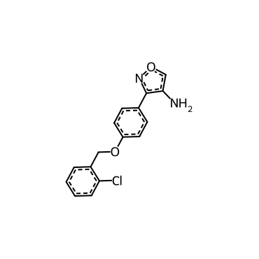 Nc1conc1-c1ccc(OCc2ccccc2Cl)cc1